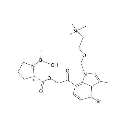 CB(O)N1CCC[C@H]1C(=O)OCC(=O)c1ccc(Br)c2c(C)cn(COCC[Si](C)(C)C)c12